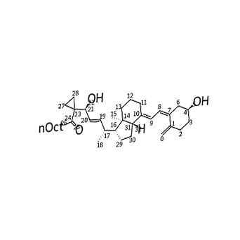 C=C1CC[C@H](O)C/C1=C/C=C1\CCC[C@]2(C)[C@@H]([C@H](C)/C=C/[C@H](O)C3(C(=O)CCCCCCCC)CC3)CC[C@@H]12